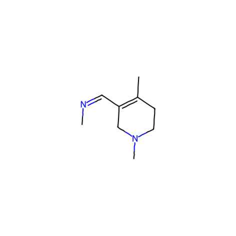 C/N=C\C1=C(C)CCN(C)C1